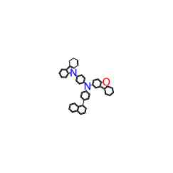 C1=Cc2c(c3ccccc3n2-c2ccc(N(c3ccc(-c4cccc5ccccc45)cc3)c3ccc4oc5ccccc5c4c3)cc2)CC1